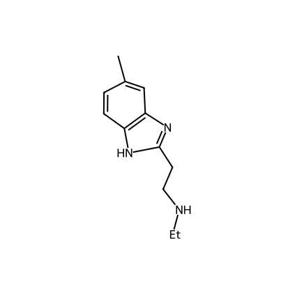 CCNCCc1nc2cc(C)ccc2[nH]1